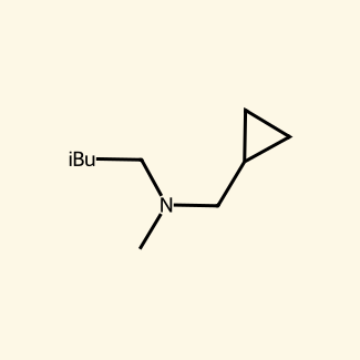 CCC(C)CN(C)CC1CC1